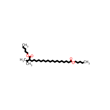 CCCCCOC(=O)CCCCCCCCCCCCCCCCCC(C(=O)OCCCCC)C(C)C